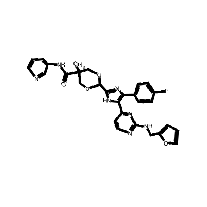 CC1(C(=O)Nc2cccnc2)COC(c2nc(-c3ccc(F)cc3)c(-c3ccnc(NCc4ccco4)n3)[nH]2)OC1